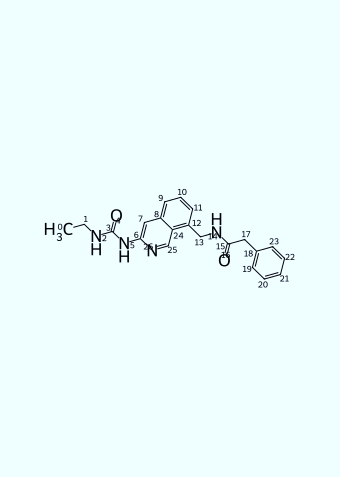 CCNC(=O)Nc1cc2cccc(CNC(=O)Cc3ccccc3)c2cn1